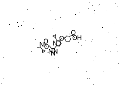 C[C@H](C1CC1)N(C)C(=O)OCc1c(-c2ccc(O[C@H]3CCC[C@](C)(C(=O)O)C3)c(C3CC3)n2)nnn1C